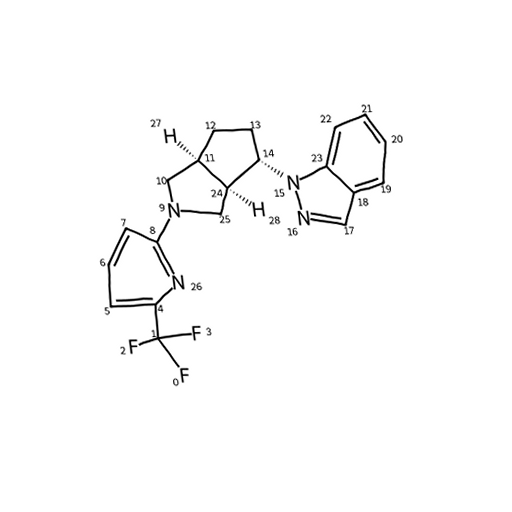 FC(F)(F)c1cccc(N2C[C@H]3CC[C@H](n4ncc5ccccc54)[C@H]3C2)n1